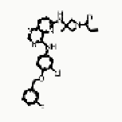 C=CC(=O)N1CC(C)(Nc2ccc3ncnc(Nc4ccc(OCc5cccc(F)c5)c(Cl)c4)c3n2)C1